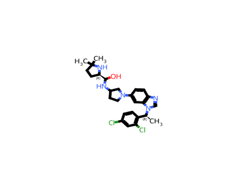 C[C@H](c1ccc(Cl)cc1Cl)n1cnc2ccc(N3CCC(NC(O)[C@H]4CCC(C)(C)N4)C3)cc21